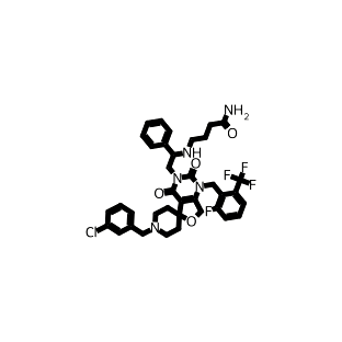 NC(=O)CCCNC(Cn1c(=O)c2c(n(Cc3c(F)cccc3C(F)(F)F)c1=O)COC21CCN(Cc2cccc(Cl)c2)CC1)c1ccccc1